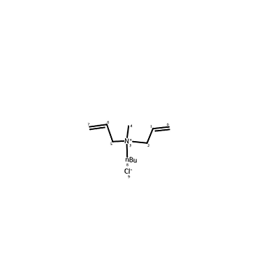 C=CC[N+](C)(CC=C)CCCC.[Cl-]